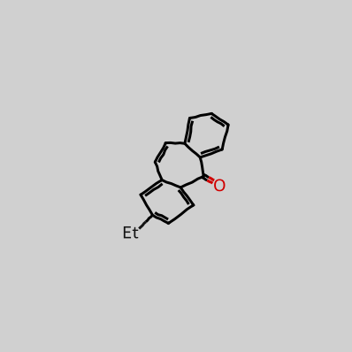 CCc1ccc2c(=O)c3ccccc3ccc2c1